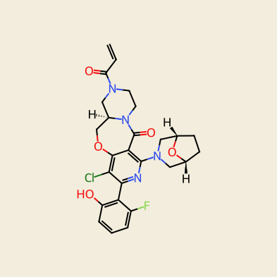 C=CC(=O)N1CCN2C(=O)c3c(N4C[C@H]5CC[C@@H](C4)O5)nc(-c4c(O)cccc4F)c(Cl)c3OC[C@H]2C1